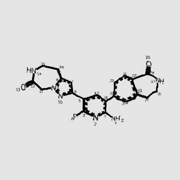 Nc1nc(F)c(-c2cc3n(n2)CC(=O)NCC3)cc1-c1ccc2c(c1)CCNC2=O